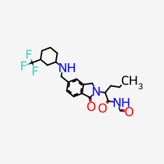 CCCC(C(=O)NC=O)N1Cc2cc(CNC3CCCC(C(F)(F)F)C3)ccc2C1=O